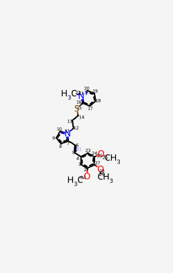 COc1cc(/C=C/c2cccn2CCCSc2cccc[n+]2C)cc(OC)c1OC